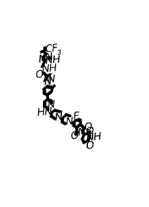 Cc1cc(-c2ccc(NC3CCN(C4CCN(c5cc6c(cc5F)C(=O)N(C5CCC(=O)NC5=O)C6=O)CC4)CC3)nc2)ccc1-n1cc(C(=O)NCc2nc(C(C)(C)C(F)(F)F)n[nH]2)cn1